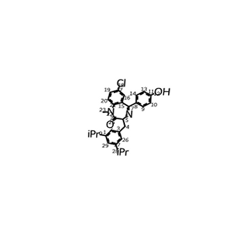 CC(C)c1cc(CC2N=C(c3ccc(O)cc3)c3cc(Cl)ccc3N(C)C2=O)cc(C(C)C)c1